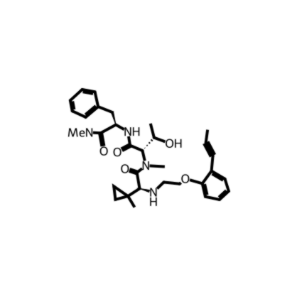 CC#Cc1ccccc1OCCN[C@H](C(=O)N(C)[C@H](C(=O)N[C@H](Cc1ccccc1)C(=O)NC)C(C)O)C1(C)CC1